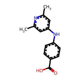 Cc1cc(Nc2ccc(C(=O)O)cc2)cc(C)n1